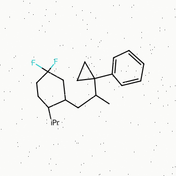 CC(C)C1CCC(F)(F)CC1CC(C)C1(c2ccccc2)CC1